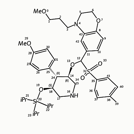 COCCCN1CCOc2ccc(C(O[C@H]3CNC[C@@H](O[Si](C(C)C)(C(C)C)C(C)C)[C@@H]3c3ccc(OC)cc3)S(=O)(=O)c3ccc(C)cc3)cc21